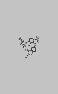 O=C1c2cc(Oc3c([N+](=O)[O-])ccc4c3CC[C@@H]4OP(=O)(N3CC3)N3CC3)ccc2CN1C1CC1